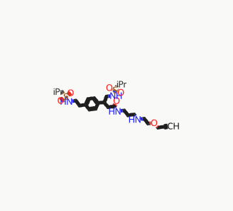 C#CCOCCNCCCNC(=O)CC(CNS(=O)(=O)C(C)C)c1ccc(CCNS(=O)(=O)C(C)C)cc1